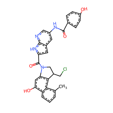 Cc1cccc2c(O)cc3c(c12)C(CCl)CN3C(=O)c1cc2cc(NC(=O)c3ccc(O)cc3)cnc2[nH]1